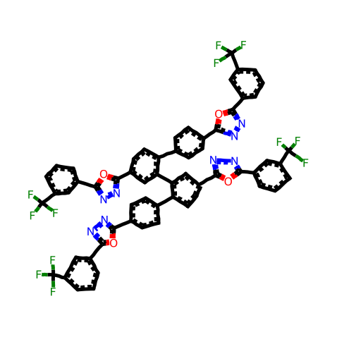 FC(F)(F)c1cccc(-c2nnc(-c3ccc(-c4ccc(-c5nnc(-c6cccc(C(F)(F)F)c6)o5)cc4-c4cc(-c5nnc(-c6cccc(C(F)(F)F)c6)o5)ccc4-c4ccc(-c5nnc(-c6cccc(C(F)(F)F)c6)o5)cc4)cc3)o2)c1